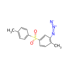 Cc1ccc(S(=O)(=O)c2ccc(C)c(N=[N+]=[N-])c2)cc1